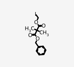 CC(C)(C(=O)OCI)C(=O)OCc1ccccc1